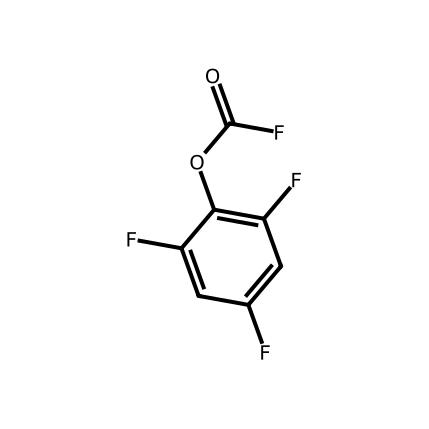 O=C(F)Oc1c(F)cc(F)cc1F